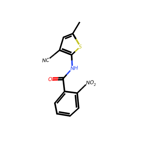 Cc1cc(C#N)c(NC(=O)c2ccccc2[N+](=O)[O-])s1